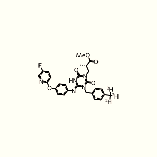 [2H]C([2H])([2H])c1ccc(Cn2c(=O)n(C[C@H](C)C(=O)OC)c(=O)[nH]/c2=N\c2ccc(Oc3ccc(F)cn3)cc2)cc1